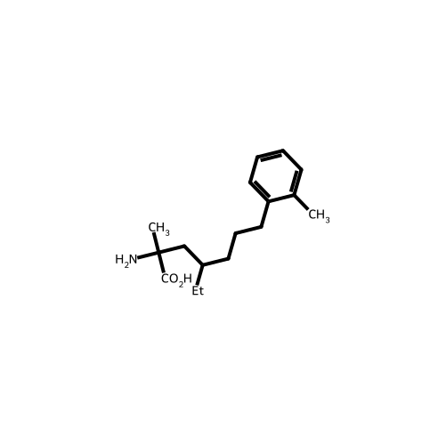 CCC(CCCc1ccccc1C)CC(C)(N)C(=O)O